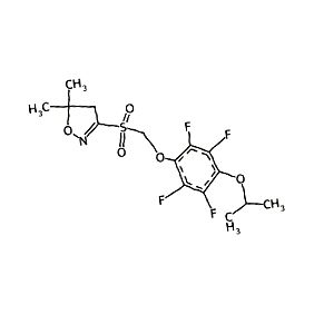 CC(C)Oc1c(F)c(F)c(OCS(=O)(=O)C2=NOC(C)(C)C2)c(F)c1F